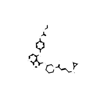 CCNC(=O)Nc1ccc(Oc2ccnc3[nH]nc(N[C@@H]4CCCN(C(=O)C=CCN(C)C5CC5)C4)c23)cc1